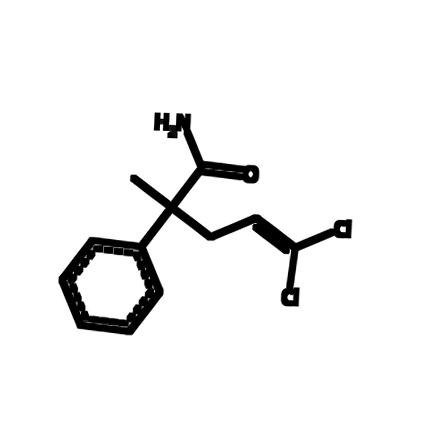 CC(CC=C(Cl)Cl)(C(N)=O)c1ccccc1